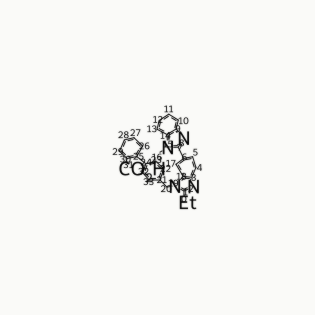 CCc1nc2ccc(-c3nc4ccccc4n3C)cc2n1Cc1ccc(-c2ccccc2C(=O)O)cc1